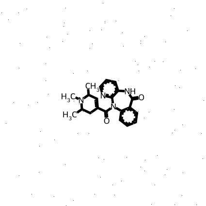 CC1C=C(C(=O)N2c3ccccc3C(=O)Nc3cccnc32)CC(C)N1C